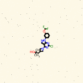 CC(C)(O)CC1CN(c2nc(Cl)nc3c2cnn3-c2cccc(OC(F)F)c2)C1